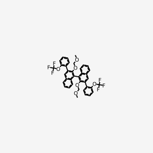 COCOc1c(-c2ccccc2OC(F)(F)F)cc2ccccc2c1-c1c(OCOC)c(-c2ccccc2OC(F)(F)F)cc2ccccc12